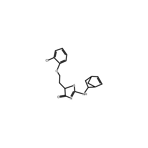 O=C1N=C(NC2CC3C=CC2C3)SC1CCOc1ccccc1Cl